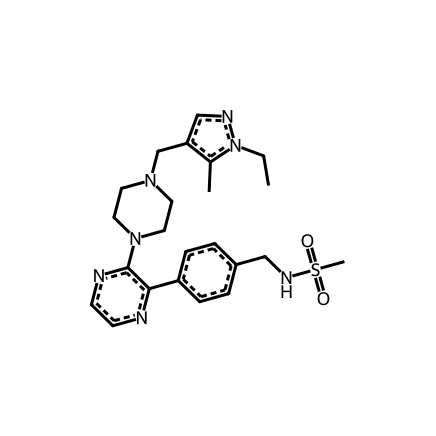 CCn1ncc(CN2CCN(c3nccnc3-c3ccc(CNS(C)(=O)=O)cc3)CC2)c1C